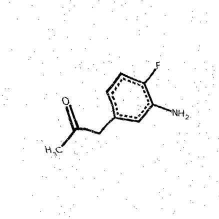 CC(=O)Cc1ccc(F)c(N)c1